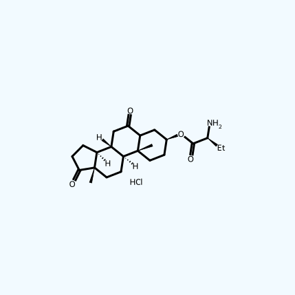 CC[C@H](N)C(=O)O[C@H]1CC[C@@]2(C)C(C1)C(=O)C[C@@H]1[C@@H]2CC[C@]2(C)C(=O)CC[C@@H]12.Cl